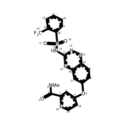 CNC(=O)c1cc(Oc2ccc3nnc(NS(=O)(=O)c4ccccc4C(F)(F)F)nc3c2)ccn1